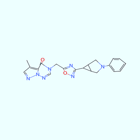 Cc1cnn2ncn(Cc3nc(C4C5CN(c6ccccc6)CC54)no3)c(=O)c12